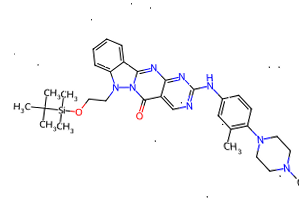 Cc1cc(Nc2ncc3c(=O)n4c(nc3n2)c2ccccc2n4CCO[Si](C)(C)C(C)(C)C)ccc1N1CCN(C)CC1